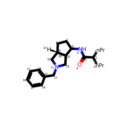 CCCC(CCC)C(=O)NC1CC[C@H]2CN(Cc3ccccc3)CC12